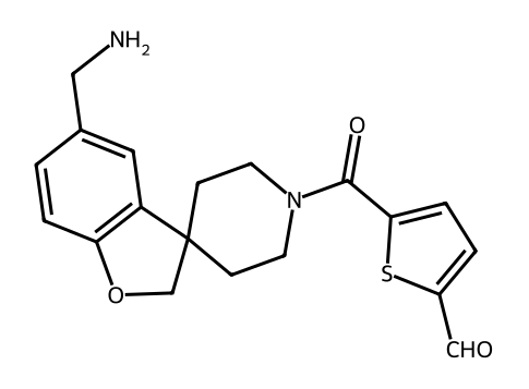 NCc1ccc2c(c1)C1(CCN(C(=O)c3ccc(C=O)s3)CC1)CO2